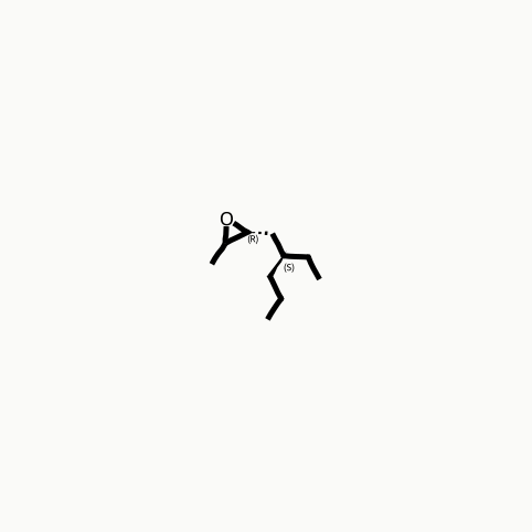 CCC[C@H](CC)C[C@H]1OC1C